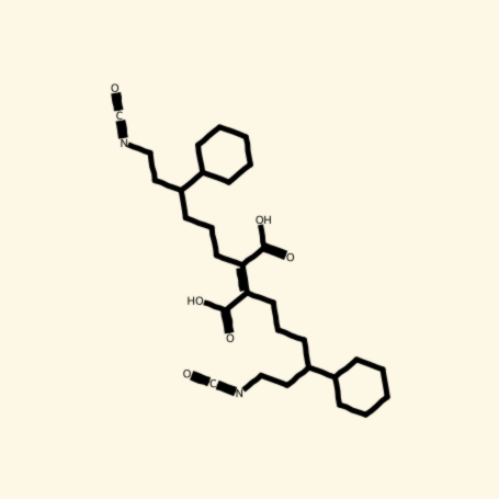 O=C=NCCC(CCC/C(C(=O)O)=C(/CCCC(CCN=C=O)C1CCCCC1)C(=O)O)C1CCCCC1